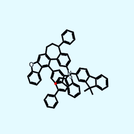 CC1(C)c2ccccc2-c2ccc(N(c3ccc(-c4ccccc4)cc3)c3ccc4c(c3)-c3c(cc5oc6ccccc6c5c3-c3ccc5c(c3)sc3ccccc35)CCC4c3ccccc3)cc21